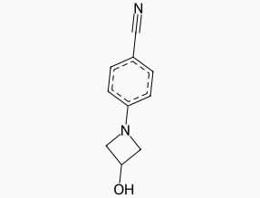 N#Cc1ccc(N2CC(O)C2)cc1